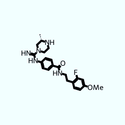 COc1ccc(CCNC(=O)c2ccc(NC(=N)N3CCN[C@@H](C)C3)cc2)c(F)c1